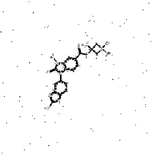 Cc1nc2ccc(-n3c(=O)n(C(C)C)c4cc(C(=O)NC5(C)CS(O)(O)C5)ccc43)cc2o1